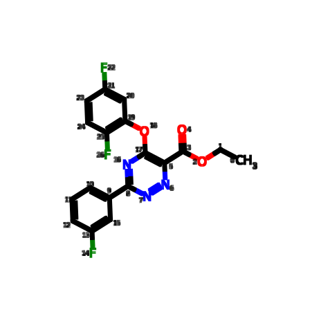 CCOC(=O)c1nnc(-c2cccc(F)c2)nc1Oc1cc(F)ccc1F